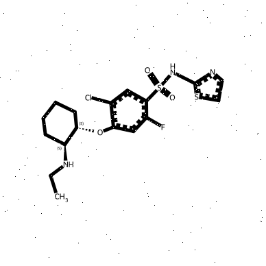 CCN[C@H]1CCCC[C@@H]1Oc1cc(F)c(S(=O)(=O)Nc2nccs2)cc1Cl